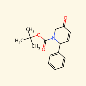 CC(C)(C)OC(=O)N1CC(=O)C=CC1c1ccccc1